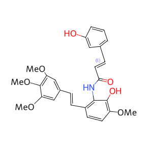 COc1ccc(C=Cc2cc(OC)c(OC)c(OC)c2)c(NC(=O)/C=C/c2cccc(O)c2)c1O